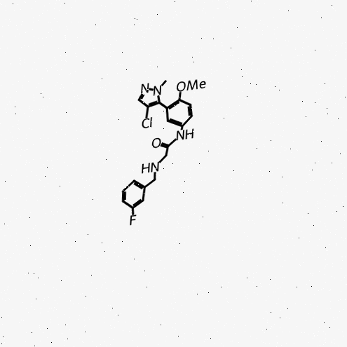 COc1ccc(NC(=O)CNCc2cccc(F)c2)cc1-c1c(Cl)cnn1C